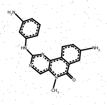 Cn1c(=O)c2cc(N)ccc2c2nc(Nc3cccc(N)c3)ncc21